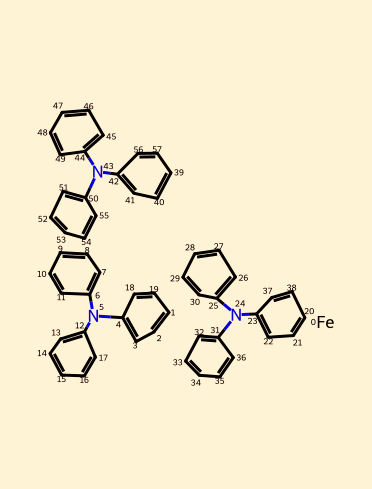 [Fe].c1ccc(N(c2ccccc2)c2ccccc2)cc1.c1ccc(N(c2ccccc2)c2ccccc2)cc1.c1ccc(N(c2ccccc2)c2ccccc2)cc1